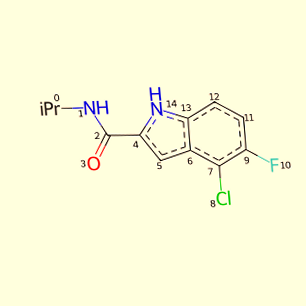 CC(C)NC(=O)c1cc2c(Cl)c(F)ccc2[nH]1